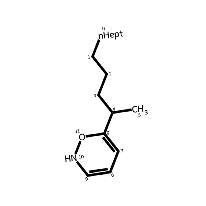 CCCCCCCCCCC(C)C1=CC=CNO1